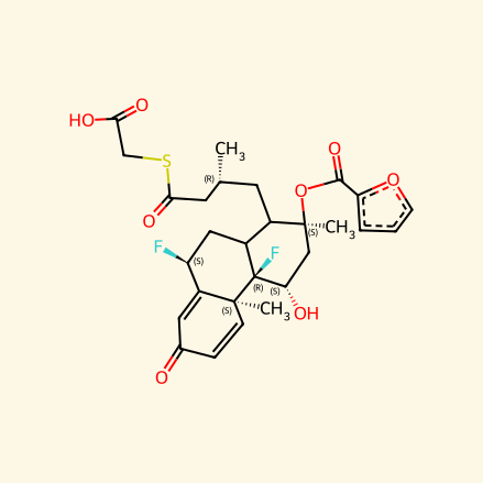 C[C@@H](CC(=O)SCC(=O)O)CC1C2C[C@H](F)C3=CC(=O)C=C[C@]3(C)[C@@]2(F)[C@@H](O)C[C@]1(C)OC(=O)c1ccco1